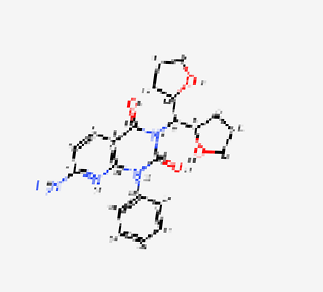 Nc1ccc2c(=O)n(C(C3CCCO3)C3CCCO3)c(=O)n(-c3ccccc3)c2n1